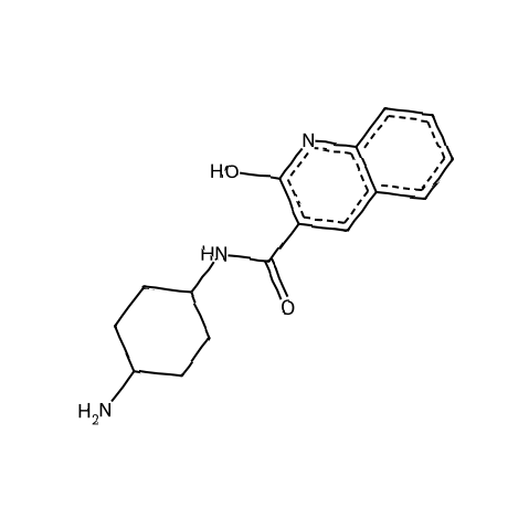 NC1CCC(NC(=O)c2cc3ccccc3nc2O)CC1